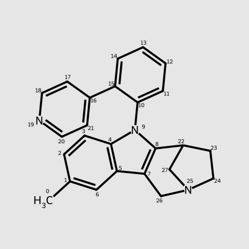 Cc1ccc2c(c1)c1c(n2-c2ccccc2-c2ccncc2)C2CCN(C1)C2